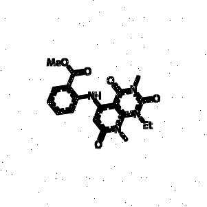 CCn1c(=O)n(C)c(=O)c2c(Nc3ccccc3C(=O)OC)cc(=O)n(C)c21